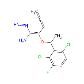 C=C=C/C(OC(C)c1c(Cl)ccc(F)c1Cl)=C(/N)N=N